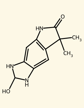 CC1(C)C(=O)Nc2cc3c(cc21)NC(O)N3